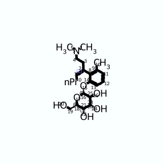 CCC/C=C(/CCN(C)C)c1c(C)cccc1O[C@H]1O[C@H](CO)[C@@H](O)[C@H](O)C1O